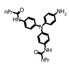 CCCC(=O)Nc1ccc(N(c2ccc(N)cc2)c2ccc(NC(=O)CCC)cc2)cc1